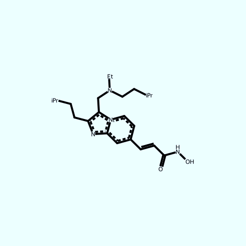 CCN(CCC(C)C)Cc1c(CCC(C)C)nc2cc(/C=C/C(=O)NO)ccn12